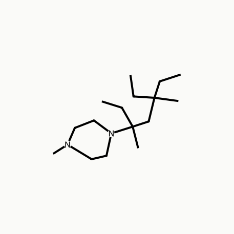 CCC(C)(CC)CC(C)(CC)N1CCN(C)CC1